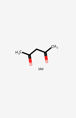 CC(=O)CC(C)=O.[Ho]